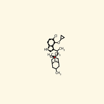 CC1CC2CC(C)(C)CC(C1)N2C(=O)CC(C)c1c[nH]c2ccc(Cl)c(OC3CC3)c12